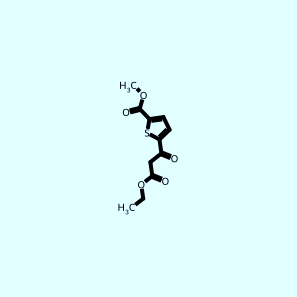 CCOC(=O)CC(=O)c1ccc(C(=O)OC)s1